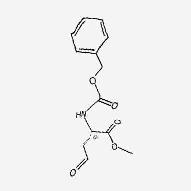 COC(=O)[C@H](CC=O)NC(=O)OCc1ccccc1